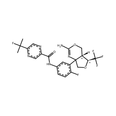 CC(C)(F)c1cnc(C(=O)Nc2ccc(F)c(C34CO[C@H](C(F)(F)F)[C@H]3COC(N)=N4)c2)cn1